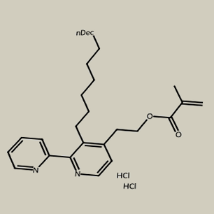 C=C(C)C(=O)OCCc1ccnc(-c2ccccn2)c1CCCCCCCCCCCCCCCC.Cl.Cl